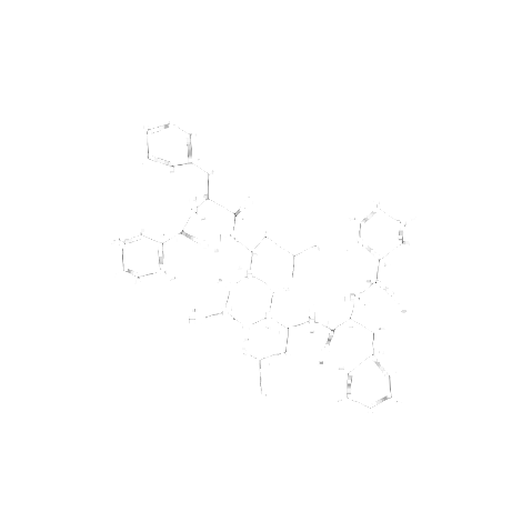 CC(C)CC(NC(=O)C(Cc1ccccc1)NC(=O)c1cnccn1)B1OB(O)OB(C(CC(C)C)NC(=O)C(Cc2ccccc2)NC(=O)c2cnccn2)O1